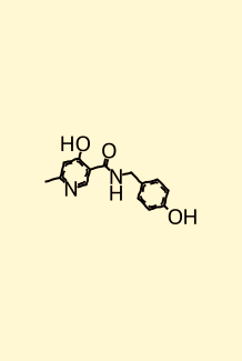 Cc1cc(O)c(C(=O)NCc2ccc(O)cc2)cn1